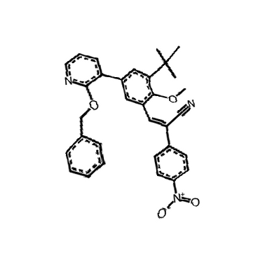 COc1c(/C=C(\C#N)c2ccc([N+](=O)[O-])cc2)cc(-c2cccnc2OCc2ccccc2)cc1C(C)(C)C